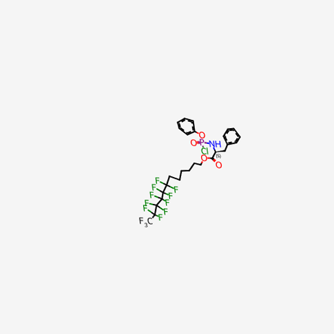 O=C(OCCCCCCC(F)(F)C(F)(F)C(F)(F)C(F)(F)C(F)(F)C(F)(F)F)[C@H](Cc1ccccc1)NP(=O)(Cl)Oc1ccccc1